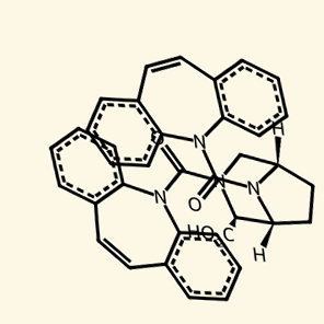 O=C(O)[C@@H]1[C@H]2CC[C@@H](CN1C(=O)N1c3ccccc3C=Cc3ccccc31)N2C(=O)N1c2ccccc2C=Cc2ccccc21